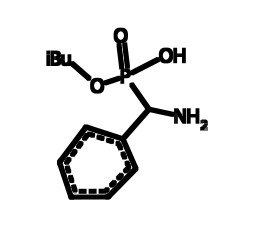 CCC(C)OP(=O)(O)C(N)c1ccccc1